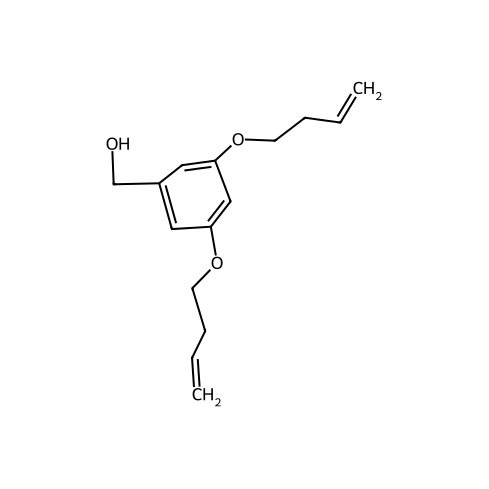 C=CCCOc1cc(CO)cc(OCCC=C)c1